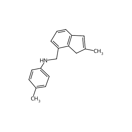 CC1=Cc2cccc(CNc3ccc(C)cc3)c2C1